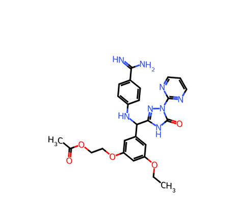 CCOc1cc(OCCOC(C)=O)cc(C(Nc2ccc(C(=N)N)cc2)c2nn(-c3ncccn3)c(=O)[nH]2)c1